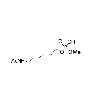 COP(=O)(O)OCCCCCCNC(C)=O